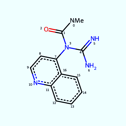 CNC(=O)N(C(=N)N)c1ccnc2ccccc12